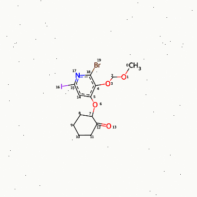 COCOc1c(OC2CCCCC2=O)cc(I)nc1Br